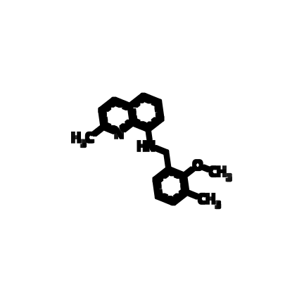 COc1c(C)cccc1CNc1cccc2ccc(C)nc12